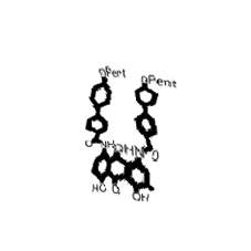 CCCCCC1CCC(c2ccc(C(=O)Nc3ccc(O)c4c3C(=O)c3c(NC(=O)c5ccc(C6CCC(CCCCC)CC6)cc5)cc(C)c(O)c3C4=O)cc2)CC1